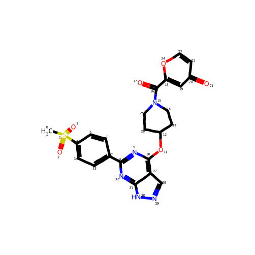 CS(=O)(=O)c1ccc(-c2nc(OC3CCN(C(=O)c4cc(=O)cco4)CC3)c3cn[nH]c3n2)cc1